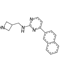 c1ccc2cc(-c3ccnc(NCC4CNC4)n3)ccc2c1